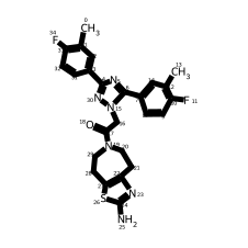 Cc1cc(-c2nc(-c3ccc(F)c(C)c3)n(CC(=O)N3CCc4nc(N)sc4CC3)n2)ccc1F